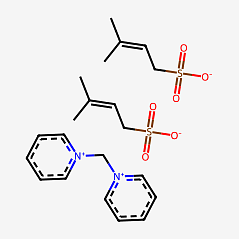 CC(C)=CCS(=O)(=O)[O-].CC(C)=CCS(=O)(=O)[O-].c1cc[n+](C[n+]2ccccc2)cc1